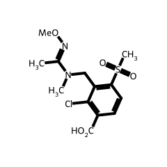 CON=C(C)N(C)Cc1c(S(C)(=O)=O)ccc(C(=O)O)c1Cl